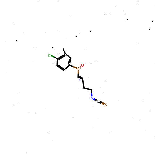 Cc1cc([S+]([O-])/C=C/CCN=C=S)ccc1Cl